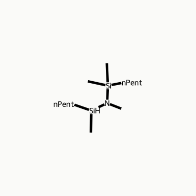 CCCCC[SiH](C)N(C)[Si](C)(C)CCCCC